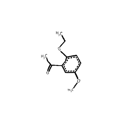 CCOc1ccc(OC)cc1C(C)=O